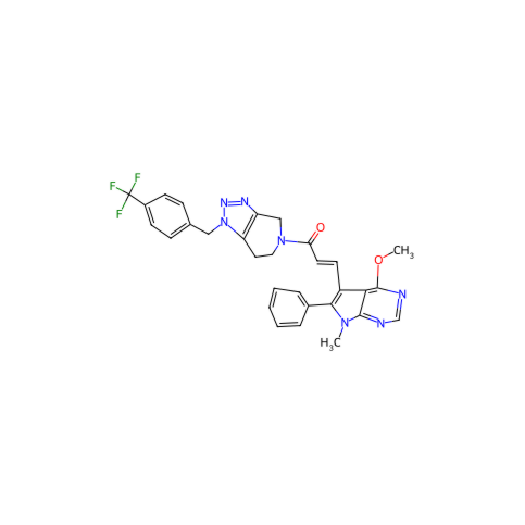 COc1ncnc2c1c(/C=C/C(=O)N1CCc3c(nnn3Cc3ccc(C(F)(F)F)cc3)C1)c(-c1ccccc1)n2C